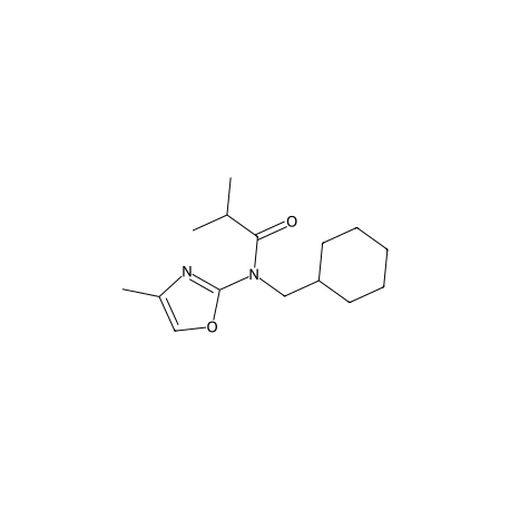 Cc1coc(N(CC2CCCCC2)C(=O)C(C)C)n1